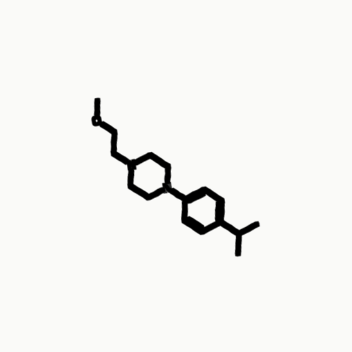 COCCN1CCN(c2ccc(C(C)C)cc2)CC1